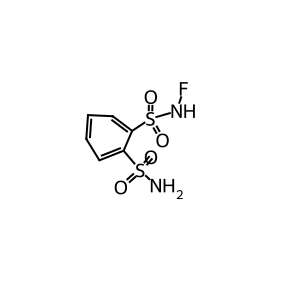 NS(=O)(=O)c1ccccc1S(=O)(=O)NF